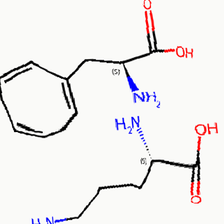 NCCC[C@H](N)C(=O)O.N[C@@H](Cc1ccccc1)C(=O)O